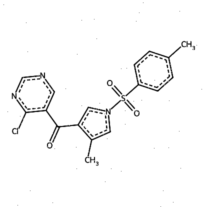 Cc1ccc(S(=O)(=O)n2cc(C)c(C(=O)c3cncnc3Cl)c2)cc1